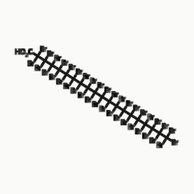 O=C(O)C(Br)(Br)C(Br)(Br)C(Br)(Br)C(Br)(Br)C(Br)(Br)C(Br)(Br)C(Br)(Br)C(Br)(Br)C(Br)(Br)C(Br)(Br)C(Br)(Br)C(Br)(Br)C(Br)(Br)C(Br)(Br)C(Br)(Br)C(Br)(Br)C(Br)(Br)C(Br)(Br)C(Br)(Br)Br